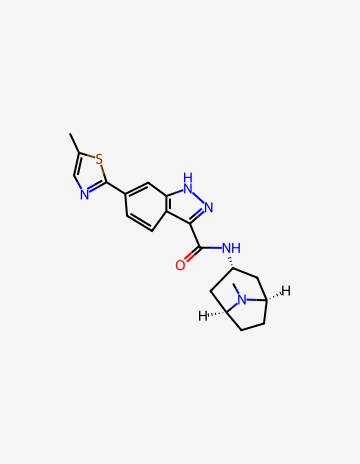 Cc1cnc(-c2ccc3c(C(=O)N[C@@H]4C[C@H]5CC[C@@H](C4)N5C)n[nH]c3c2)s1